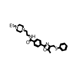 CCN1CCN(CCNC(=O)c2ccc(-c3nc(CSc4ccccc4)c(C)o3)cc2)CC1